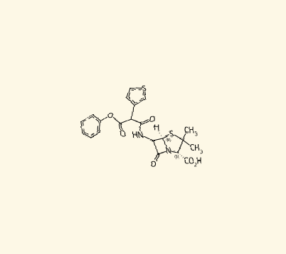 CC1(C)S[C@@H]2C(NC(=O)C(C(=O)Oc3ccccc3)c3ccsc3)C(=O)N2[C@H]1C(=O)O